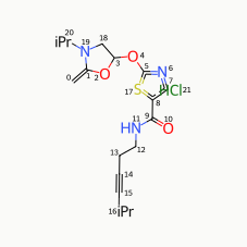 C=C1OC(Oc2ncc(C(=O)NCCC#CC(C)C)s2)CN1C(C)C.Cl